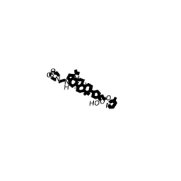 C=C(C)[C@@H]1CC[C@]2(NCCN3CCS(=O)(=O)CC3)CC[C@]3(C)[C@H](CCC4[C@@]5(C)CC=C(C6=CCC(CCOc7ncccc7C)(C(=O)O)CC6)C(C)(C)C5CC[C@]43C)C12